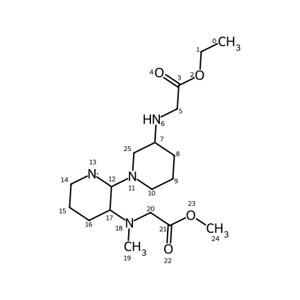 CCOC(=O)CNC1CCCN(C2[N]CCCC2N(C)CC(=O)OC)C1